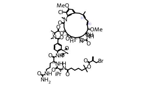 C=C(CBr)C(=O)OC(C)(C)CCCCC(=O)N[C@H](C(=O)N[C@@H](CCCNC(N)=O)C(=O)Nc1ccc(C(=O)N(C)[C@@H](C)C(=O)O[C@H]2CC(=O)N(C)c3cc(cc(OC)c3Cl)C/C(C)=C/C=C/[C@@H](OC)[C@@]3(O)C[C@H](OC(=O)N3)[C@@H](C)[C@@H]3O[C@@]23C)cc1S(C)(=O)=O)C(C)C